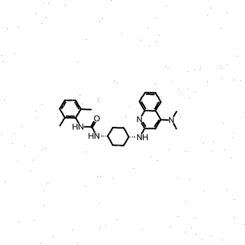 Cc1cccc(C)c1NC(=O)N[C@H]1CC[C@@H](Nc2cc(N(C)C)c3ccccc3n2)CC1